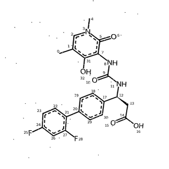 Cc1cn(C)c(=O)c(NC(=O)N[C@@H](CC(=O)O)c2ccc(-c3ccc(F)cc3F)cc2)c1O